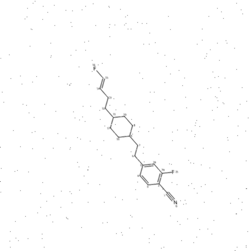 N#Cc1ccc(CCC2CCC(CCC=CF)CC2)cc1F